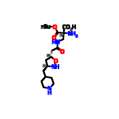 CCCCOC(=O)[C@](N)(CNC(=O)C[C@H]1C[C@H](CC2CCNCC2)NO1)C(=O)O